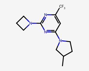 CC1CCN(c2cc(C(F)(F)F)nc(N3CCC3)n2)C1